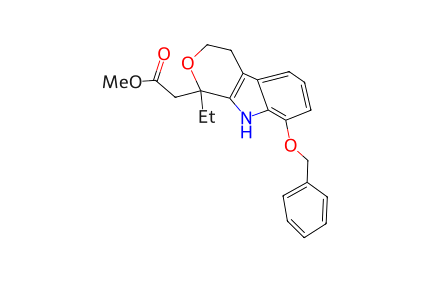 CCC1(CC(=O)OC)OCCc2c1[nH]c1c(OCc3ccccc3)cccc21